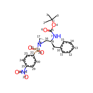 CC(C)(C)OC(=O)N[C@@H](Cc1ccccc1)[C@H]1CN1S(=O)(=O)c1ccc([N+](=O)[O-])cc1